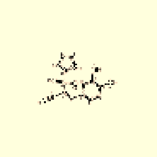 N#CC(=Cc1ccc(O)c(O)c1)S(=O)(=O)c1cccs1